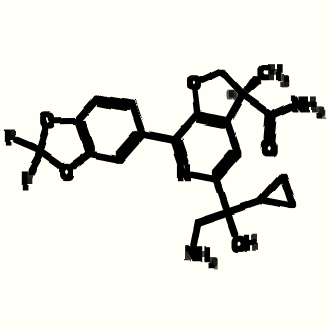 C[C@]1(C(N)=O)COc2c1cc(C(O)(CN)C1CC1)nc2-c1ccc2c(c1)OC(F)(F)O2